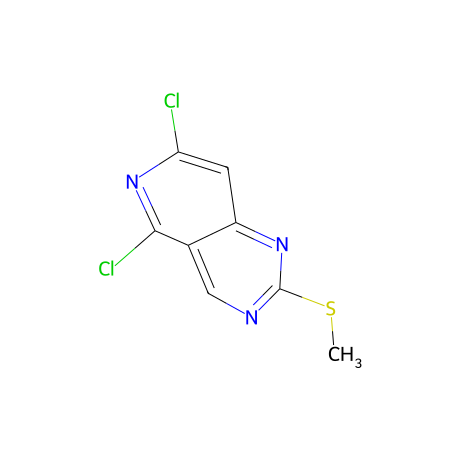 CSc1ncc2c(Cl)nc(Cl)cc2n1